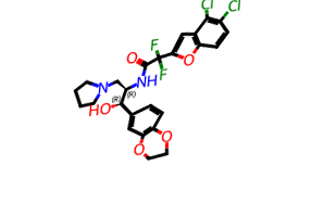 O=C(N[C@H](CN1CCCC1)[C@H](O)c1ccc2c(c1)OCCO2)C(F)(F)c1cc2c(Cl)c(Cl)ccc2o1